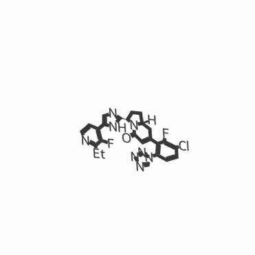 CCc1nccc(-c2cnc([C@@H]3CC[C@@H]4CC(c5c(-n6cnnn6)ccc(Cl)c5F)=CC(=O)N43)[nH]2)c1F